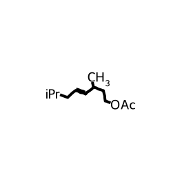 CC(=O)OCCC(C)C=CCC(C)C